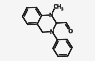 CN1c2ccccc2CN(c2ccccc2)C1C=O